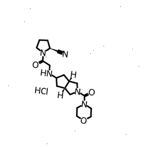 Cl.N#C[C@@H]1CCCN1C(=O)CNC1C[C@@H]2CN(C(=O)N3CCOCC3)C[C@@H]2C1